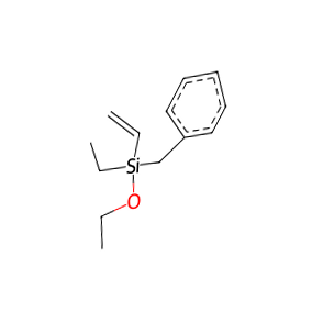 C=C[Si](CC)(Cc1ccccc1)OCC